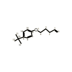 C=CCCCOc1ccc(C(C)(C)C)cc1